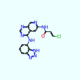 O=C(C=CCl)Nc1cc2c(Nc3cccc4nn[nH]c34)ncnc2cn1